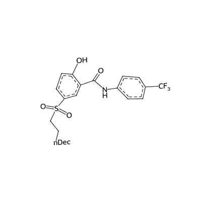 CCCCCCCCCCCCS(=O)(=O)c1ccc(O)c(C(=O)Nc2ccc(C(F)(F)F)cc2)c1